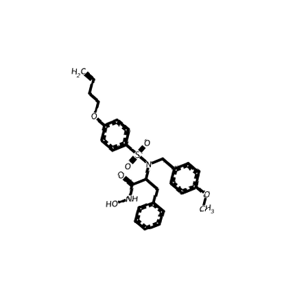 C=CCCOc1ccc(S(=O)(=O)N(Cc2ccc(OC)cc2)C(Cc2ccccc2)C(=O)NO)cc1